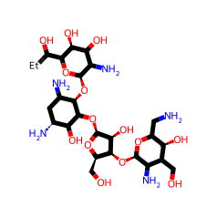 CCC(O)C1O[C@H](O[C@@H]2C(N)C[C@@H](N)C(O)C2O[C@@H]2O[C@H](CO)[C@H](O[C@H]3OC(CN)[C@@H](O)C(CO)C3N)[C@@H]2O)C(N)C(O)[C@@H]1O